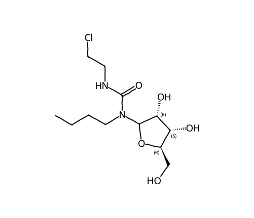 CCCCN(C(=O)NCCCl)C1O[C@H](CO)[C@@H](O)[C@H]1O